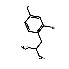 CC(C)[CH]c1ccc(Br)cc1Br